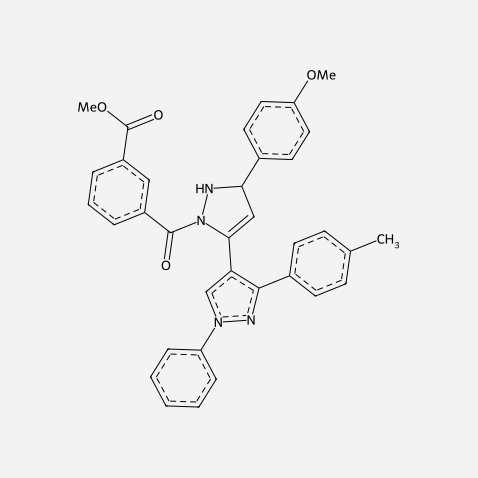 COC(=O)c1cccc(C(=O)N2NC(c3ccc(OC)cc3)C=C2c2cn(-c3ccccc3)nc2-c2ccc(C)cc2)c1